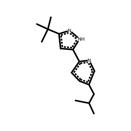 CC(C)Cc1ccc(-c2cc(C(C)(C)C)n[nH]2)nc1